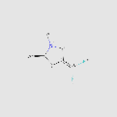 CC(=O)[C@@H]1CC(=C(F)F)CN1C